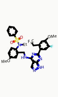 CCN(c1ccc(OC)cc1CNc1nc(-c2cc(F)c(OC)cc2CC(F)(F)F)nc2[nH]ncc12)S(=O)(=O)c1ccccc1